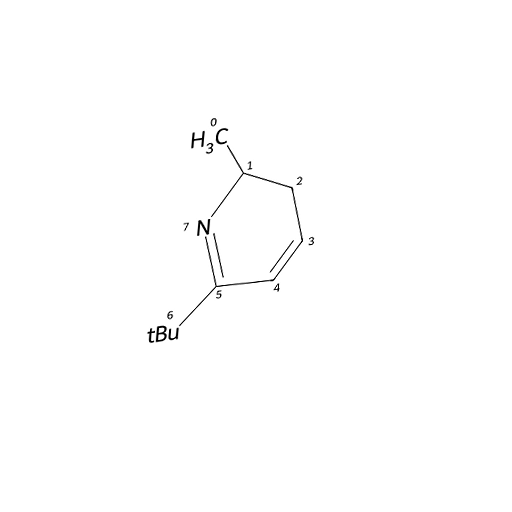 CC1CC=CC(C(C)(C)C)=N1